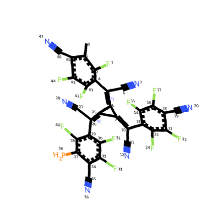 Cc1c(F)c(/C(C#N)=C2/C(=C(C#N)c3c(F)c(F)c(C#N)c(F)c3F)/C2=C(/C#N)c2c(F)c(F)c(C#N)c(P)c2F)c(F)c(F)c1C#N